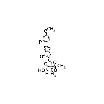 COc1ccc(-c2cc3c(s2)C(=O)N(CCC(C)(C(=O)NO)S(C)(=O)=O)C3)c(F)c1